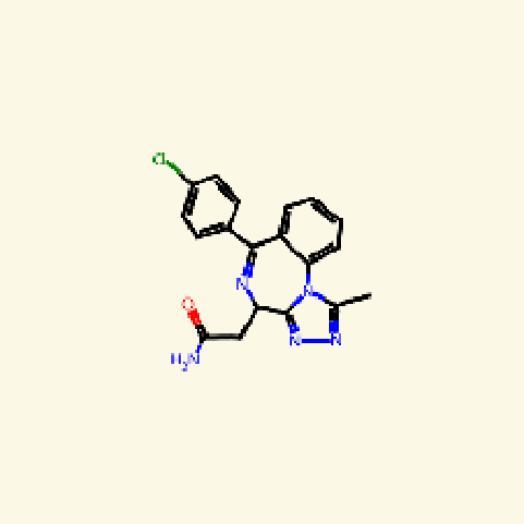 Cc1nnc2n1-c1ccccc1C(c1ccc(Cl)cc1)=NC2CC(N)=O